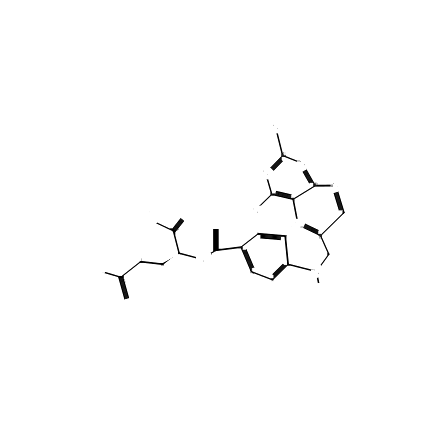 CN(Cc1cnc2nc(N)nc(N)c2n1)c1ccc(C(=O)N[C@@H](CCC(=O)O)C(=O)O)cc1.[Pt]